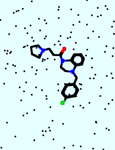 O=C(CCN1CCCC1)N1CCN(Cc2ccc(Cl)cc2)c2ccccc21